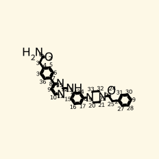 NC(=O)Cc1ccc(-c2ccnc(Nc3cccc(N4CCN(C(=O)Cc5ccccc5)CC4)c3)n2)cc1